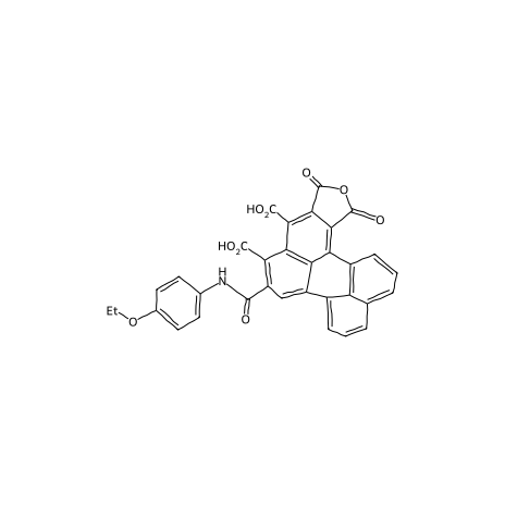 CCOc1ccc(NC(=O)c2cc3c4cccc5cccc(c54)c4c5c(=O)oc(=O)c5c(C(=O)O)c(c2C(=O)O)c34)cc1